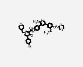 COc1cc(-c2cnc(N)c(-c3ccc(NC(=O)c4cn(CC5CCOCC5)cc(-c5ccc(Br)cc5)c4=O)cc3)c2)ccc1OC[C@H]1COCCO1